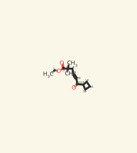 CCOC(=O)C(C)(C)CC#CC(=O)C1CCC1